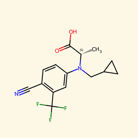 C[C@@H](C(=O)O)N(CC1CC1)c1ccc(C#N)c(C(F)(F)F)c1